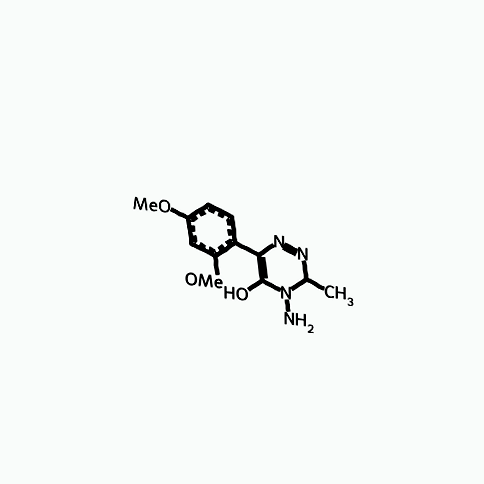 COc1ccc(C2=C(O)N(N)C(C)N=N2)c(OC)c1